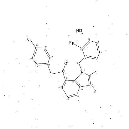 Cc1c(C)n(Cc2ccccc2F)c2c([S+]([O-])Cc3ccc(Cl)cc3)nccc12.Cl